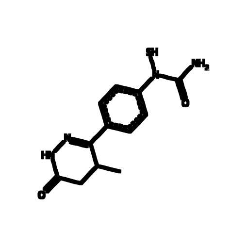 CC1CC(=O)NN=C1c1ccc(N(S)C(N)=O)cc1